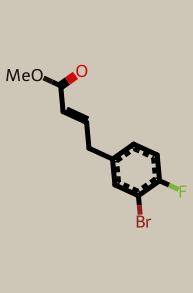 COC(=O)C=CCc1ccc(F)c(Br)c1